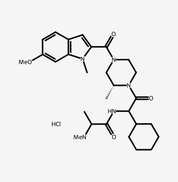 CNC(C)C(=O)NC(C(=O)N1CCN(C(=O)c2cc3ccc(OC)cc3n2C)C[C@H]1C)C1CCCCC1.Cl